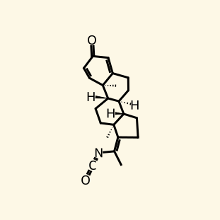 CC(N=C=O)=C1CC[C@H]2[C@@H]3CCC4=CC(=O)C=C[C@]4(C)[C@H]3CC[C@]12C